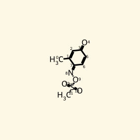 CC1=CC(=O)C=CC1=NOS(C)(=O)=O